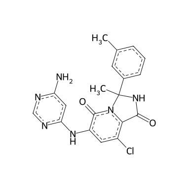 Cc1cccc(C2(C)NC(=O)c3c(Cl)cc(Nc4cc(N)ncn4)c(=O)n32)c1